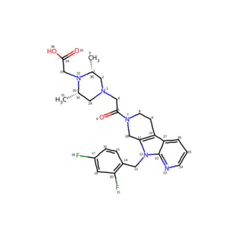 C[C@@H]1CN(CC(=O)N2CCc3c(n(Cc4ccc(F)cc4F)c4ncccc34)C2)C[C@H](C)N1CC(=O)O